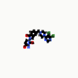 O=C1CCN(N2Cc3cc(CN4CCN(c5ncnc(Cl)c5Cl)CC4)ccc3C2=O)C(=O)N1